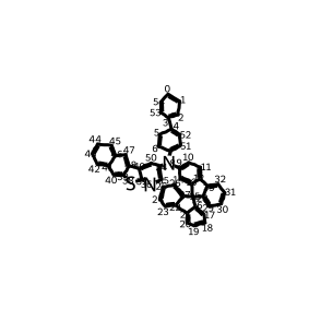 c1ccc(-c2ccc(N(c3ccc4c(c3)C3(c5ccccc5-c5ccccc53)c3ccccc3-4)c3cnc4sc5cc6ccccc6cc5c4c3)cc2)cc1